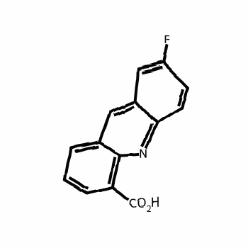 O=C(O)c1cccc2cc3cc(F)ccc3nc12